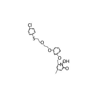 Cc1cc(COc2cccc(OCCOCCSc3ccc(Cl)cc3)c2)n(O)c(=O)c1